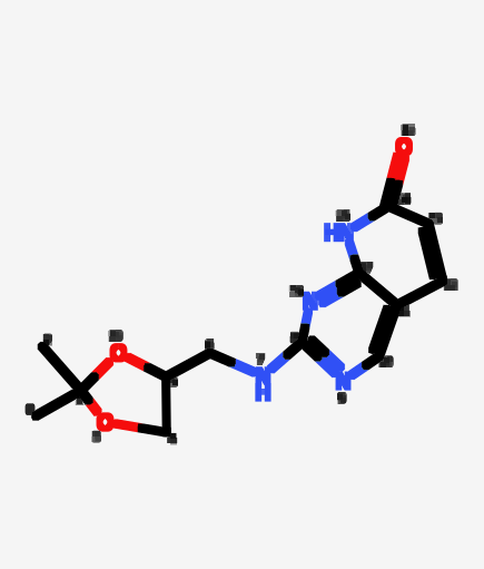 CC1(C)OCC(CNc2ncc3ccc(=O)[nH]c3n2)O1